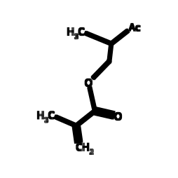 C=C(C)C(=O)OCC(C)C(C)=O